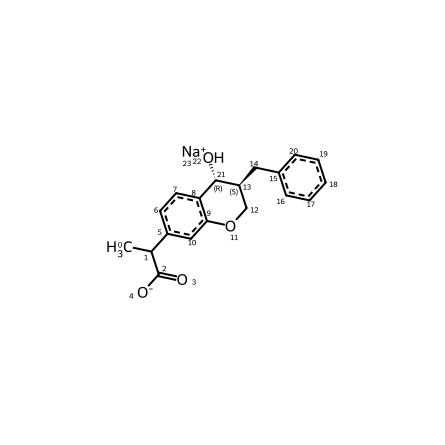 CC(C(=O)[O-])c1ccc2c(c1)OC[C@H](Cc1ccccc1)[C@H]2O.[Na+]